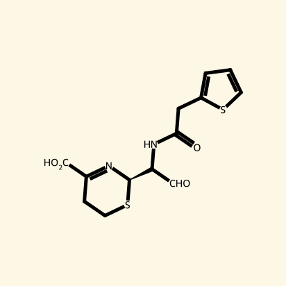 O=CC(NC(=O)Cc1cccs1)[C@@H]1N=C(C(=O)O)CCS1